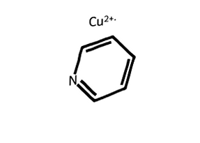 [Cu+2].c1ccncc1